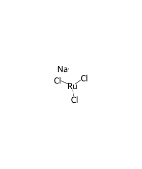 [Cl][Ru]([Cl])[Cl].[Na]